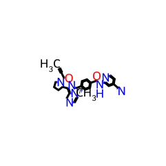 CC#CC(=O)N1CCCC1C1=C2C=NC=C[N+]2(C)C(c2ccc(C(=O)Nc3cc(C#N)ccn3)cc2)=N1